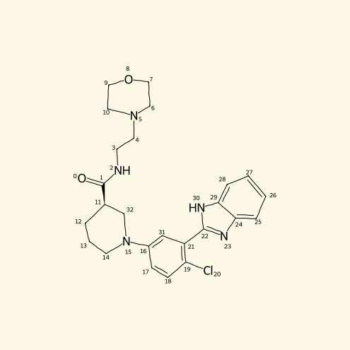 O=C(NCCN1CCOCC1)[C@@H]1CCCN(c2ccc(Cl)c(-c3nc4ccccc4[nH]3)c2)C1